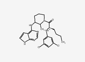 CCCC[C@@H](Nc1cc(Cl)cc(Cl)c1)C(=O)N1CCCC(Nc2ncnc3[nH]ccc23)C1C